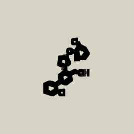 OCc1ccc(-c2ccccc2Cl)cc1N1CC[C@H](Oc2ncccc2Cl)C1